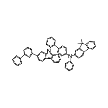 CC1(C)c2ccccc2-c2ccc(N(c3ccccc3)c3ccc(-c4ccccc4-n4c5ccccc5c5ccc(-c6cccc(-c7ccccc7)c6)cc54)cc3)cc21